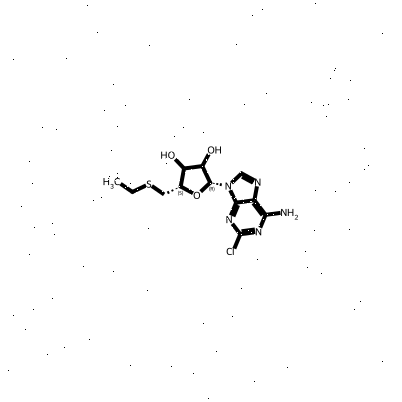 CCSC[C@H]1O[C@@H](n2cnc3c(N)nc(Cl)nc32)C(O)C1O